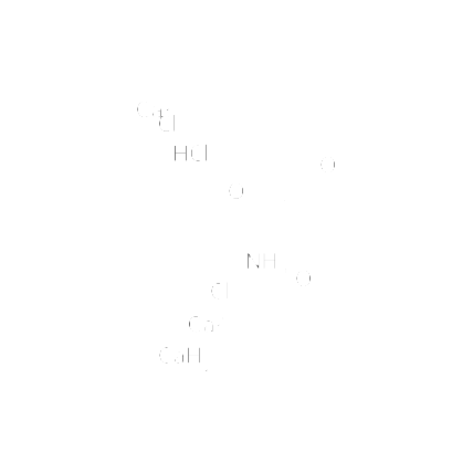 Cl.N.O=C([O-])[O-].[Ca+2].[Ca+2].[CaH2].[Cl-].[Cl-]